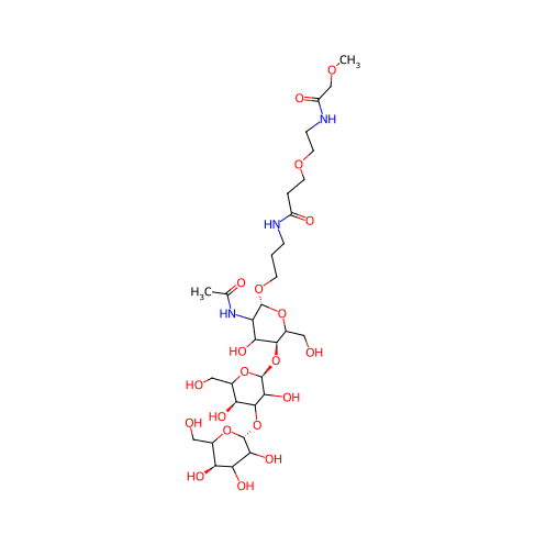 COCC(=O)NCCOCCC(=O)NCCCO[C@@H]1OC(CO)[C@@H](O[C@@H]2OC(CO)[C@H](O)C(O[C@H]3OC(CO)[C@H](O)C(O)C3O)C2O)C(O)C1NC(C)=O